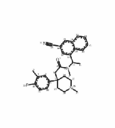 Cc1cc(C2(CC(=O)N(C)C(C)c3cc(C#N)cc4ccccc34)CCN(C)CC2)ccc1F